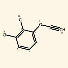 C#COc1cccc(Cl)c1Cl